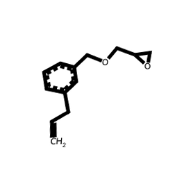 C=CCc1cccc(COCC2CO2)c1